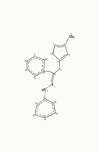 CC(C)(C)C1=CCC(CC(=NNc2ccccc2)c2ccccc2)=C1